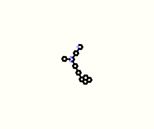 c1ccc(-c2nc(-c3ccc(-c4ccc(-c5ccc6ccc7cccc8ccc5c6c78)cc4)cc3)cc(-c3ccc(-c4ccccn4)cc3)n2)cc1